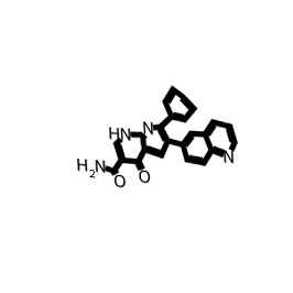 NC(=O)c1c[nH]c2nc(-c3ccccc3)c(-c3ccc4ncccc4c3)cc2c1=O